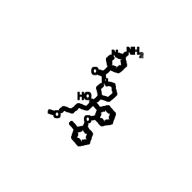 COCCCC[C@@](O)(c1ccccc1Oc1ccccc1C)C1CCCN(C(=O)c2ccc(N)nc2)C1